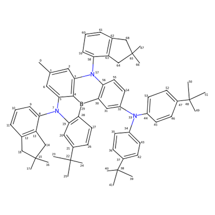 Cc1cc2c3c(c1)N(c1cccc4c1CC(C)(C)C4)c1cc(C(C)(C)C)ccc1B3c1cc(N(c3ccc(C(C)(C)C)cc3)c3ccc(C(C)(C)C)cc3)ccc1N2c1cccc2c1CC(C)(C)C2